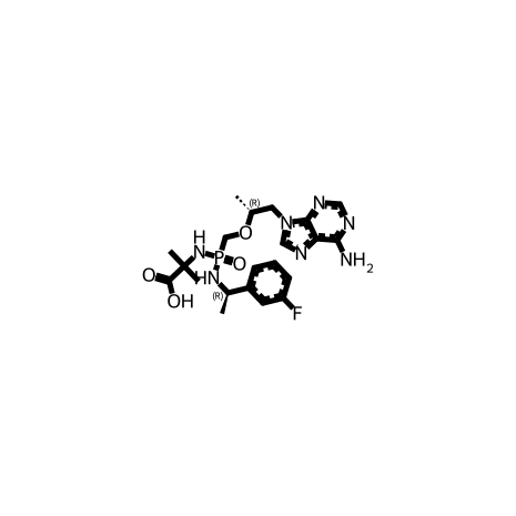 C[C@H](Cn1cnc2c(N)ncnc21)OCP(=O)(N[C@H](C)c1cccc(F)c1)NC(C)(C)C(=O)O